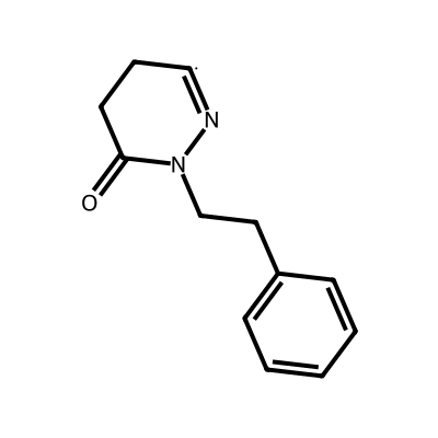 O=C1CC[C]=NN1CCc1ccccc1